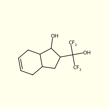 OC1C2CC=CCC2CC1C(O)(C(F)(F)F)C(F)(F)F